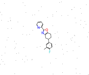 Cc1cc(C2CCc3oc(-c4ccccn4)nc3C2)ccc1F